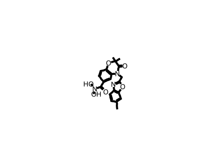 Cc1ccc2nc(CN3C(=O)C(C)(C)Oc4ccc(C(=O)N(O)O)cc43)oc2c1